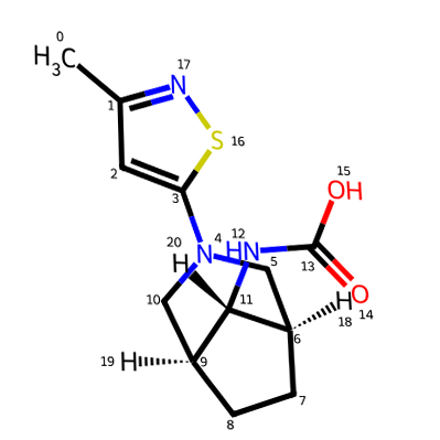 Cc1cc(N2C[C@H]3CC[C@@H](C2)[C@@H]3NC(=O)O)sn1